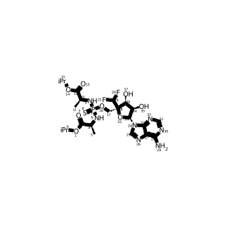 CC(C)OC(=O)[C@H](C)NP(=S)(N[C@@H](C)C(=O)OC(C)C)OC[C@@]1(C(F)F)O[C@@H](n2cnc3c(N)ncnc32)[C@H](O)[C@H]1O